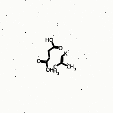 CC(C)=[CH][K].O=C(O)CCC(=O)O